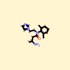 Cc1cccc(C)c1N(CCn1ccnc1)C(=O)CC(C)N